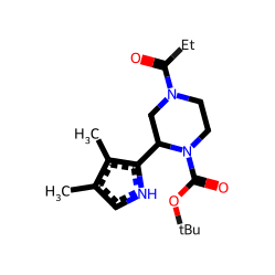 CCC(=O)N1CCN(C(=O)OC(C)(C)C)C(c2[nH]cc(C)c2C)C1